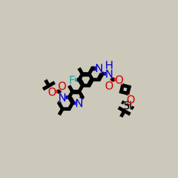 Cc1c(-c2cc3cc(NC(=O)OC4CC(O[Si](C)(C)C(C)(C)C)C4)ncc3c(C)c2F)cnc2c1N(C(=O)OC(C)(C)C)CC(C)C2